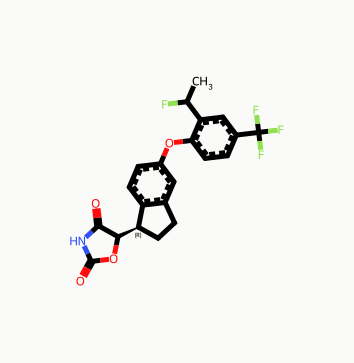 CC(F)c1cc(C(F)(F)F)ccc1Oc1ccc2c(c1)CC[C@H]2C1OC(=O)NC1=O